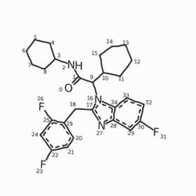 O=C(NC1CCCCC1)C(C1CCCCC1)n1c(Cc2ccc(F)cc2F)nc2cc(F)ccc21